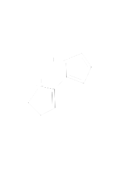 C1=C[SeH2]C(C2=CC=C[SeH2]2)=C1